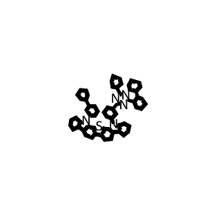 c1ccc(-c2cccc(-n3c4ccccc4c4ccc5c6ccc7c8ccccc8n(-c8cccc(-c9nc(-c%10ccccc%10)nc(-c%10ccccc%10-c%10ccccc%10)n9)c8)c7c6sc5c43)c2)cc1